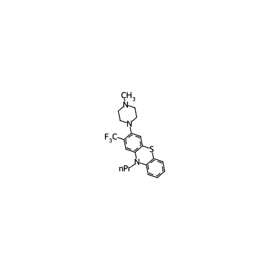 CCCN1c2ccccc2Sc2cc(N3CCN(C)CC3)c(C(F)(F)F)cc21